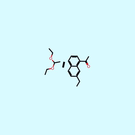 C=C.CCOC(C)OCC.CCc1ccc2cccc(C(C)=O)c2c1